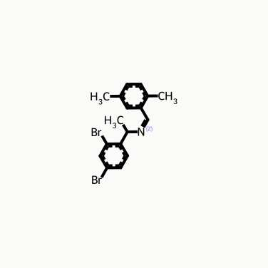 Cc1ccc(C)c(/C=N\C(C)c2ccc(Br)cc2Br)c1